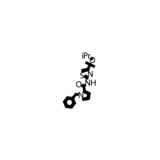 CC(C)OC(C)(C)c1csc(NC(=O)c2cccn2Cc2ccccc2)n1